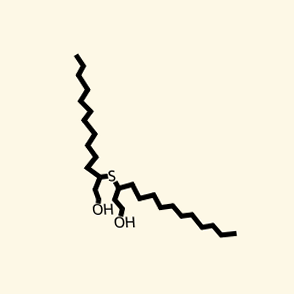 CCCCCCCCCCCC(CCO)SC(CCO)CCCCCCCCCCC